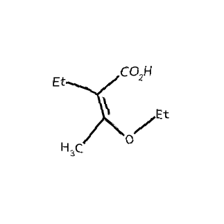 CCOC(C)=C(CC)C(=O)O